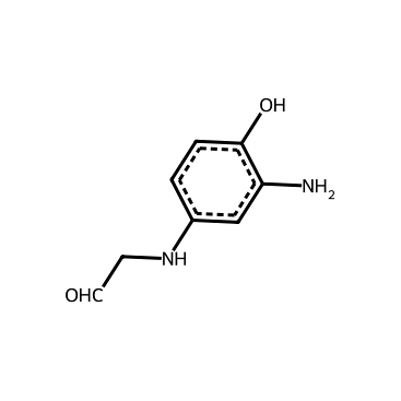 Nc1cc(NCC=O)ccc1O